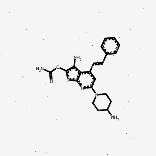 NC(=O)Oc1sc2nc(N3CCC(N)CC3)cc(/C=C/c3ccccc3)c2c1N